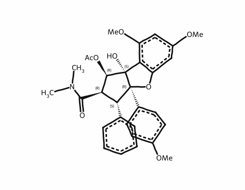 COc1ccc([C@@]23Oc4cc(OC)cc(OC)c4[C@]2(O)[C@H](OC(C)=O)[C@H](C(=O)N(C)C)[C@H]3c2ccccc2)cc1